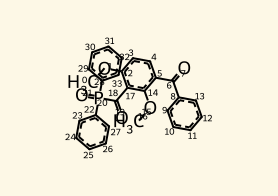 COc1ccc(C(=O)c2ccccc2)c(OC)c1C(=O)P(=O)(c1ccccc1)c1ccccc1